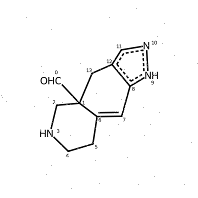 O=CC12CNCCC1=Cc1[nH]ncc1C2